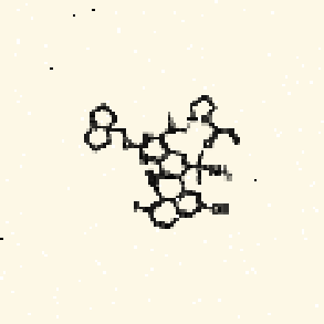 C#Cc1c(F)ccc2cc(O)cc(-c3c(C(C)(C)N)cc4c(N(C)C[C@@H]5CCCN5C(=O)C=C)nc(OCC56CCCN5CCC6)nc4c3F)c12